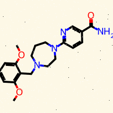 COc1cccc(OC)c1CN1CCCN(c2ccc(C(N)=O)cn2)CC1